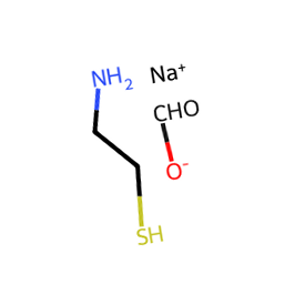 NCCS.O=C[O-].[Na+]